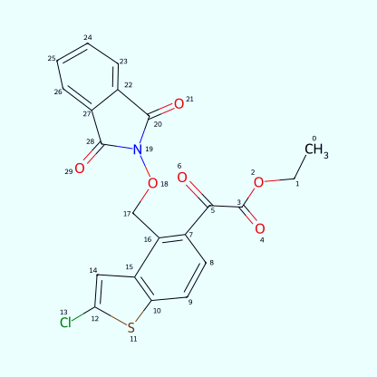 CCOC(=O)C(=O)c1ccc2sc(Cl)cc2c1CON1C(=O)c2ccccc2C1=O